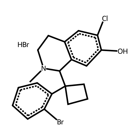 Br.CN1CCc2cc(Cl)c(O)cc2C1C1(c2ccccc2Br)CCC1